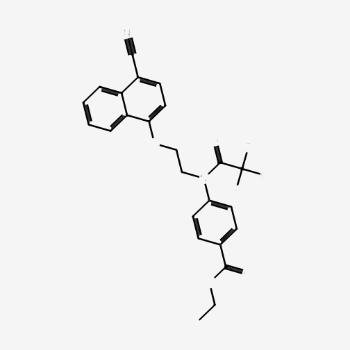 CCOC(=O)c1ccc(N(CCOc2ccc(C#N)c3ccccc23)C(=O)C(F)(F)F)cc1